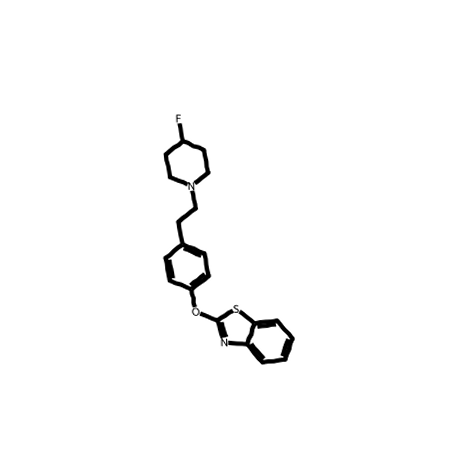 FC1CCN(CCc2ccc(Oc3nc4ccccc4s3)cc2)CC1